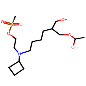 CC(O)OCC(CO)CCCCN(CCOS(C)(=O)=O)C1CCC1